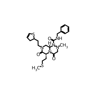 CSCC[C@H]1C(=O)N(CCC2CC=CS2)C[C@H]2N1C(=O)CN(C)N2C(=O)NCc1ccccc1